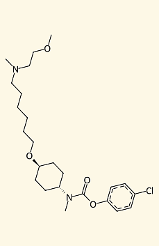 COCCN(C)CCCCCCO[C@H]1CC[C@H](N(C)C(=O)Oc2ccc(Cl)cc2)CC1